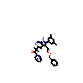 Cc1cc(C)cc(-c2[nH]c3cnc(C(C)(C)C(=O)N4CC5CCC4CC5)cc3c2[C@H](C)COCc2ccccc2)c1